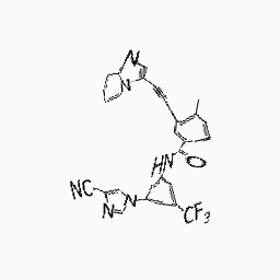 Cc1ccc(C(=O)Nc2cc(-n3cnc(C#N)c3)cc(C(F)(F)F)c2)cc1C#Cc1cnc2ccccn12